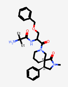 CCC(N)(CC)C(=O)NC(COCc1ccccc1)C(=O)N1CCC[C@@]2(C1)C(=O)N(C)C[C@H]2c1ccccc1